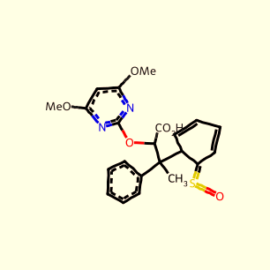 COc1cc(OC)nc(OC(C(=O)O)C(C)(c2ccccc2)C2C=CC=CC2=S=O)n1